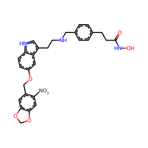 O=C(CCc1ccc(CNCCc2c[nH]c3ccc(OCc4cc5c(cc4[N+](=O)[O-])OCO5)cc23)cc1)NO